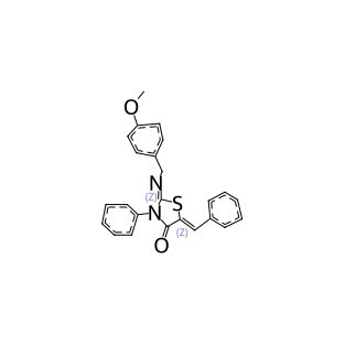 COc1ccc(C/N=C2\S/C(=C\c3ccccc3)C(=O)N2c2ccccc2)cc1